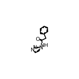 O=C(Cc1ccccc1)Nn1ccnn1